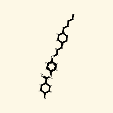 CCCCCC1CCC(CCCOc2ccc(OC(=O)C3CCC(C)CC3)cc2)CC1